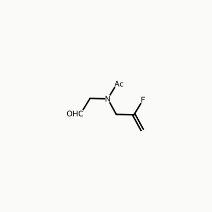 C=C(F)CN(CC=O)C(C)=O